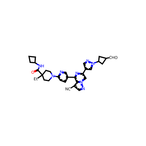 CCC1(C(=O)NC2CCC2)CCN(c2ccc(-c3nc(-c4cnn(C5CC(C=O)C5)c4)cn4ncc(C#N)c34)cn2)CC1